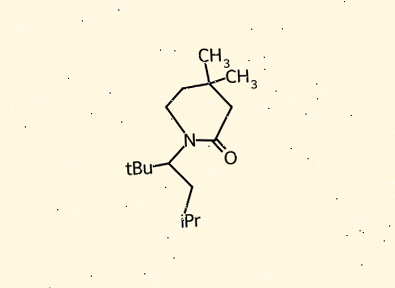 CC(C)CC(N1CCC(C)(C)CC1=O)C(C)(C)C